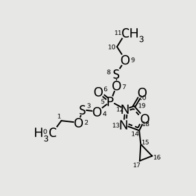 CCOSOP(=O)(OSOCC)n1nc(C2CC2)oc1=O